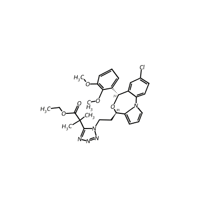 CCOC(=O)C(C)(C)c1nnnn1CC[C@H]1O[C@H](c2cccc(OC)c2OC)c2cc(Cl)ccc2-n2cccc21